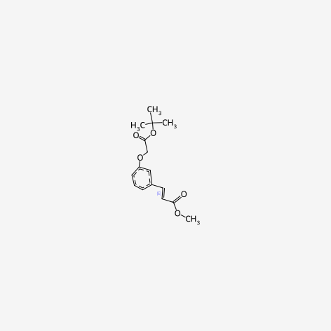 COC(=O)/C=C/c1cccc(OCC(=O)OC(C)(C)C)c1